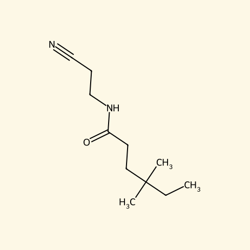 CCC(C)(C)CCC(=O)NCCC#N